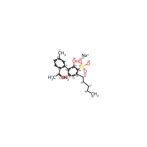 C=C(C)c1ccc(C)cc1-c1c(O)cc(CCCCC)c(S(=O)(=O)[O-])c1O.[Na+]